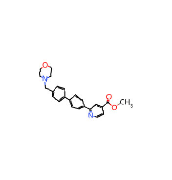 COC(=O)c1ccnc(-c2ccc(-c3ccc(CN4CCOCC4)cc3)cc2)c1